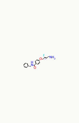 NC/C=C(\F)COc1ccc(C(=O)NCc2ccccc2)cc1